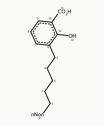 CCCCCCCCCCCCCCc1cccc(C(=O)O)c1O